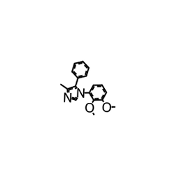 COc1cccc(-n2cnc(C)c2-c2ccccc2)c1OC